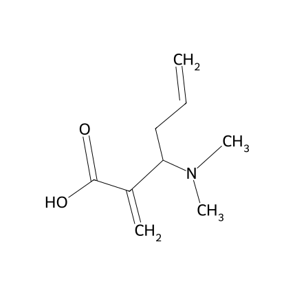 C=CCC(C(=C)C(=O)O)N(C)C